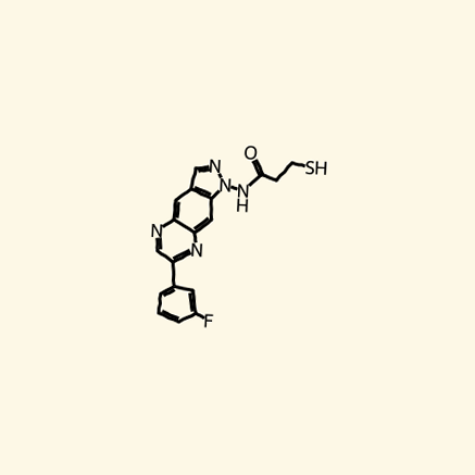 O=C(CCS)Nn1ncc2cc3ncc(-c4cccc(F)c4)nc3cc21